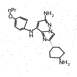 CCCOc1ccc(Nc2cc(N)nn3cc([C@H]4CC[C@H](N)CC4)nc23)cc1